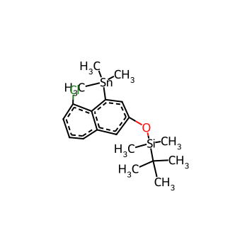 CC(C)(C)[Si](C)(C)Oc1c[c]([Sn]([CH3])([CH3])[CH3])c2c(Cl)cccc2c1